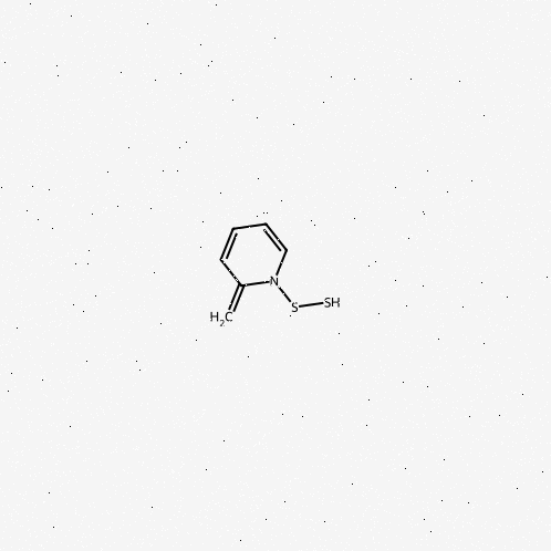 C=C1C=CC=CN1SS